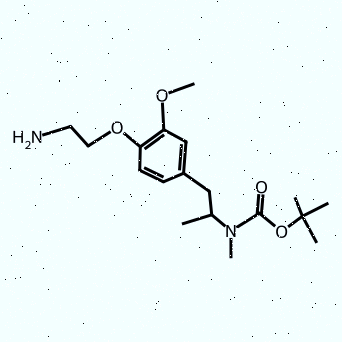 COc1cc(CC(C)N(C)C(=O)OC(C)(C)C)ccc1OCCN